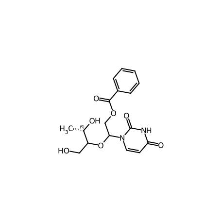 C[C@H](O)C(CO)OC(COC(=O)c1ccccc1)n1ccc(=O)[nH]c1=O